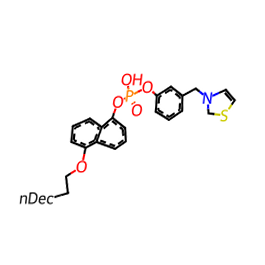 CCCCCCCCCCCCOc1cccc2c(OP(=O)(O)Oc3cccc(CN4C=CSC4)c3)cccc12